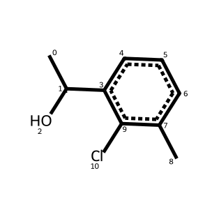 C[C](O)c1cccc(C)c1Cl